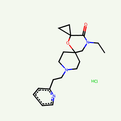 CCN1CC2(CCN(CCc3ccccn3)CC2)OC2(CC2)C1=O.Cl